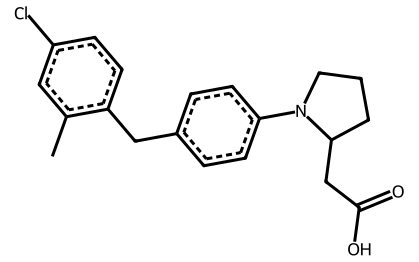 Cc1cc(Cl)ccc1Cc1ccc(N2CCCC2CC(=O)O)cc1